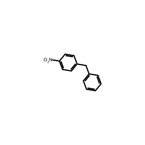 O=[N+]([O-])c1ccc([CH]c2ccccc2)cc1